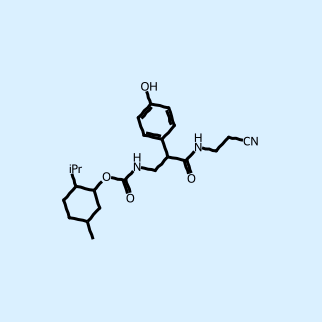 CC1CCC(C(C)C)C(OC(=O)NCC(C(=O)NCCC#N)c2ccc(O)cc2)C1